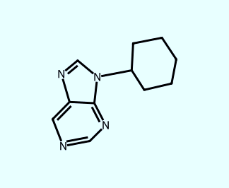 c1ncc2ncn(C3CCCCC3)c2n1